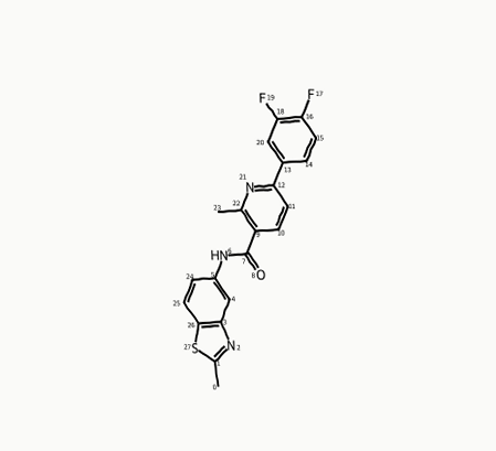 Cc1nc2cc(NC(=O)c3ccc(-c4ccc(F)c(F)c4)nc3C)ccc2s1